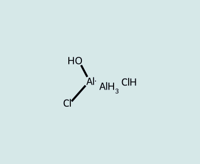 Cl.[AlH3].[OH][Al][Cl]